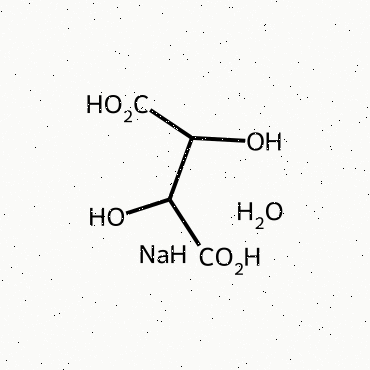 O.O=C(O)C(O)C(O)C(=O)O.[NaH]